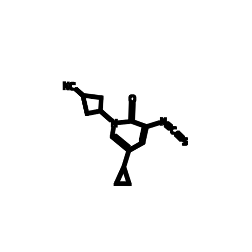 N#CC1CC(n2cc(C3CC3)cc(N=C=S)c2=O)C1